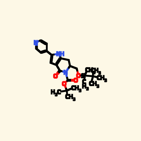 CC(C)(C)OC(=O)N1C(=O)c2cc(-c3ccncc3)[nH]c2CC1CO[Si](C)(C)C(C)(C)C